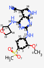 COc1cc(S(C)(=O)=O)ccc1Nc1nc(NC2CCOC2)c2c(C#N)c[nH]c2n1